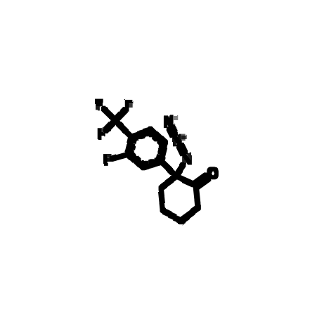 [N-]=[N+]=NC1(c2ccc(C(F)(F)F)c(F)c2)CCCCC1=O